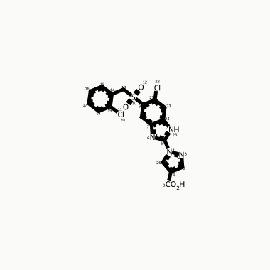 O=C(O)c1cnn(-c2nc3cc(S(=O)(=O)Cc4ccccc4Cl)c(Cl)cc3[nH]2)c1